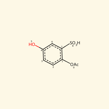 CC(=O)Oc1ccc(O)cc1S(=O)(=O)O